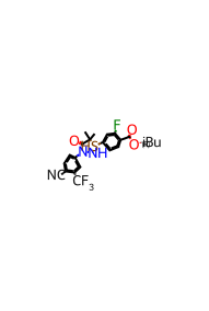 CC[C@@H](C)OC(=O)c1ccc([SH]2NN(c3ccc(C#N)c(C(F)(F)F)c3)C(=O)C2(C)C)cc1F